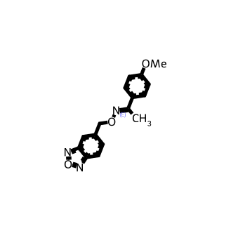 COc1ccc(/C(C)=N/OCc2ccc3nonc3c2)cc1